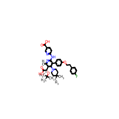 Cc1nc(Nc2ccc(C(=O)O)cn2)c(-c2ccc(OCCc3ccc(F)cc3)cc2)c(N2CCC(C)(C)CC2)c1[C@H](OC(C)(C)C)C(=O)O